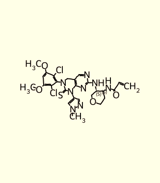 C=CC(=O)N[C@H]1CCOC[C@H]1Nc1ncc2c(n1)N(c1cnn(C)c1)C(=S)N(c1c(Cl)c(OC)cc(OC)c1Cl)C2